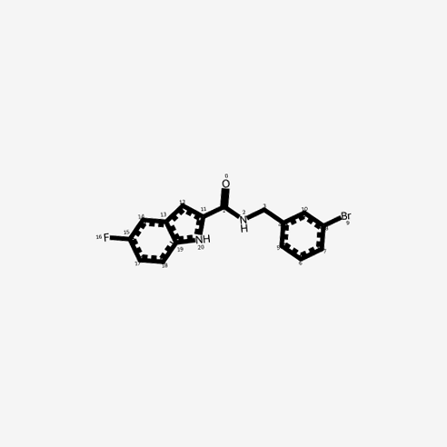 O=C(NCc1cccc(Br)c1)c1cc2cc(F)ccc2[nH]1